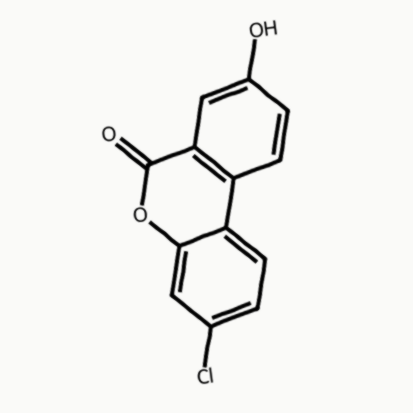 O=c1oc2cc(Cl)ccc2c2ccc(O)cc12